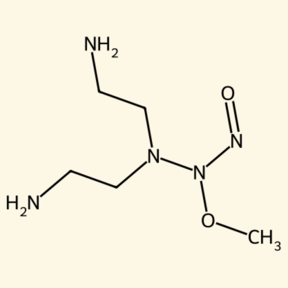 CON(N=O)N(CCN)CCN